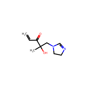 C=CC(=O)C(C)(O)CN1C=NCC1